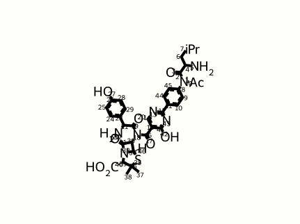 CC(=O)N(C(=O)C(N)CC(C)C)c1ccc(-c2ncc(C(=O)N(C(=O)C(N)c3ccc(O)cc3)[C@@H]3C(=O)N4[C@@H]3SC(C)(C)[C@@H]4C(=O)O)c(O)n2)cc1